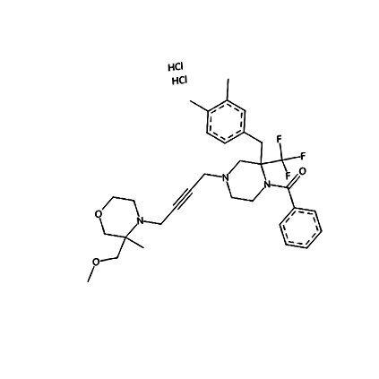 COCC1(C)COCCN1CC#CCN1CCN(C(=O)c2ccccc2)C(Cc2ccc(C)c(C)c2)(C(F)(F)F)C1.Cl.Cl